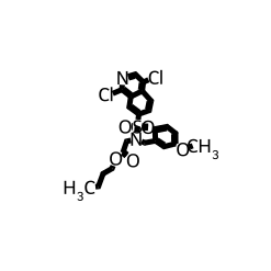 CCCCOC(=O)CN(Cc1cccc(OC)c1)S(=O)(=O)c1ccc2c(Cl)cnc(Cl)c2c1